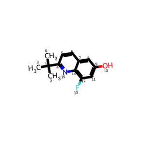 CC(C)(C)c1ccc2cc(O)[c]c(F)c2n1